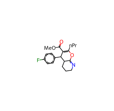 CCCC1=C(C(=O)OC)C(c2ccc(F)cc2)C2CCCN=C2O1